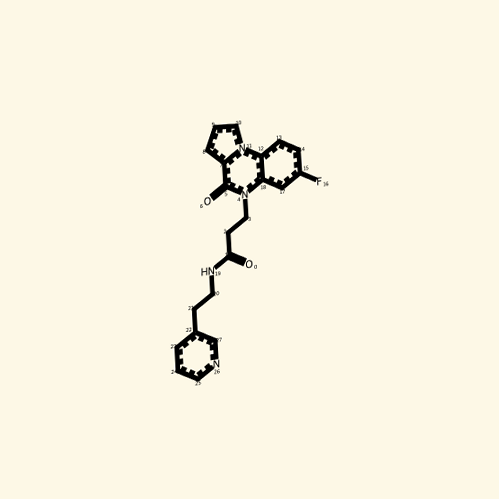 O=C(CCn1c(=O)c2cccn2c2ccc(F)cc21)NCCc1cccnc1